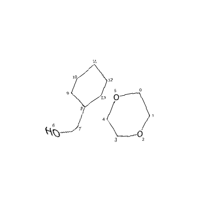 C1COCCO1.OCC1CCCCC1